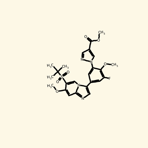 COC(=O)c1cnn(-c2cc(-c3cnc4cc(OC)c(S(=O)(=O)C(C)(C)C)cn34)cc(F)c2OC)c1